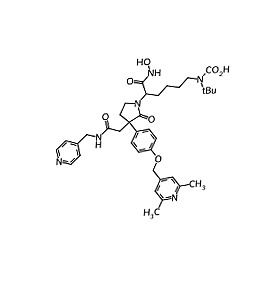 Cc1cc(COc2ccc(C3(CC(=O)NCc4ccncc4)CCN(C(CCCCN(C(=O)O)C(C)(C)C)C(=O)NO)C3=O)cc2)cc(C)n1